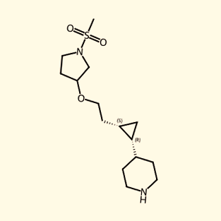 CS(=O)(=O)N1CCC(OCC[C@@H]2C[C@@H]2C2CCNCC2)C1